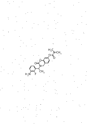 CC(c1cccc(N)c1F)N1Cc2ccc(OC(=O)N(C)C)cc2OC1=O